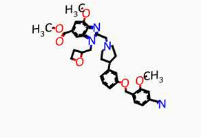 COC(=O)c1cc(OC)c2nc(CN3CCC(c4cccc(OCc5ccc(C#N)cc5OC)c4)CC3)n(CC3CCO3)c2c1